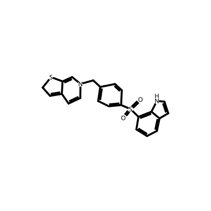 O=S(=O)(c1ccc(CN2C=CC3=CCSC3=C2)cc1)c1cccc2cc[nH]c12